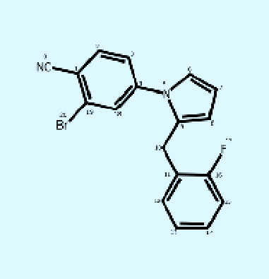 N#Cc1ccc(-n2cccc2Cc2ccccc2F)cc1Br